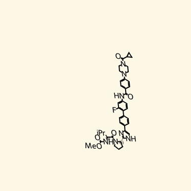 COC(=O)N[C@H](C(=O)N1CCC[C@H]1c1nc(-c2ccc(-c3ccc(NC(=O)c4ccc(N5CCN(C(=O)C6CC6)CC5)cc4)cc3F)cc2)c[nH]1)C(C)C